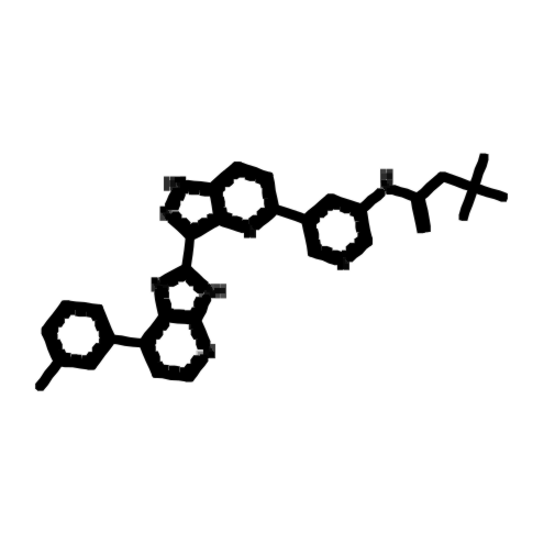 C=C(CC(C)(C)C)Nc1cncc(-c2ccc3[nH]nc(-c4nc5c(-c6cccc(C)c6)ccnc5[nH]4)c3n2)c1